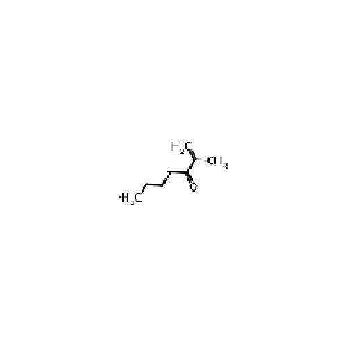 [CH2]CC[CH]C(=O)C(=C)C